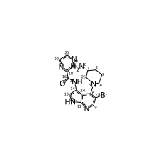 N[C@@H]1CCCN(c2c(Br)cnc3[nH]cc(NC(=O)c4cnccn4)c23)C1